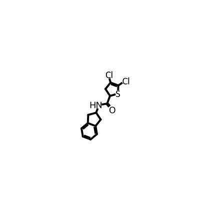 O=C(NC1Cc2ccccc2C1)C1CC(Cl)=C(Cl)S1